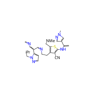 C=N/C=C(\C=N/CCc1c(CNC)sc(NC(=C)c2cnn(C)c2)c1C#N)c1ccnn1CC(C)C